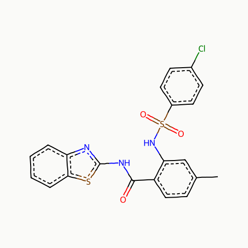 Cc1ccc(C(=O)Nc2nc3ccccc3s2)c(NS(=O)(=O)c2ccc(Cl)cc2)c1